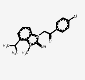 CC(C)c1cccc2c1n(C)c(=N)n2CC(=O)c1ccc(Cl)cc1